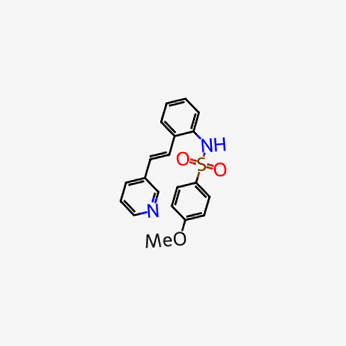 COc1ccc(S(=O)(=O)Nc2ccccc2C=Cc2cccnc2)cc1